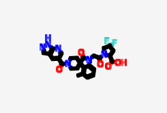 Cc1cccc2c1C1(CCN(C(=O)c3cnc4[nH]ncc4c3)CC1)C(=O)N2CC(=O)N1CC(F)(F)CC1C(=O)O